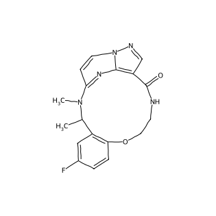 CC1c2cc(F)ccc2OCCNC(=O)c2cnn3ccc(nc23)N1C